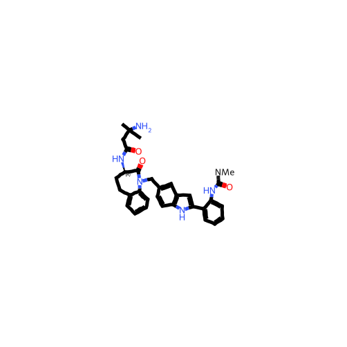 CNC(=O)Nc1ccccc1-c1cc2cc(CN3C(=O)[C@H](NC(=O)CC(C)(C)N)CCc4ccccc43)ccc2[nH]1